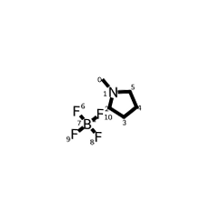 CN1CCCC1.F[B-](F)(F)F